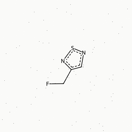 FCc1[c]nsn1